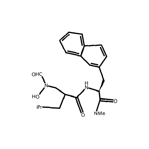 CNC(=O)[C@H](Cc1ccc2ccccc2c1)NC(=O)C(CC(C)C)CN(O)C=O